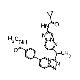 CNC(=O)c1ccc(-c2ccc3nnc(C(C)c4ccc5nc(NC(=O)C6CC6)cn5n4)n3c2)cc1